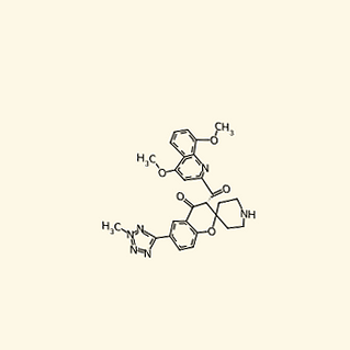 COc1cc(C(=O)[C@H]2C(=O)c3cc(-c4nnn(C)n4)ccc3OC23CCNCC3)nc2c(OC)cccc12